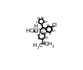 CN(C)C1CCN(CC(c2cccc(Cl)c2)C2CCCC2)CC1.Cl.Cl